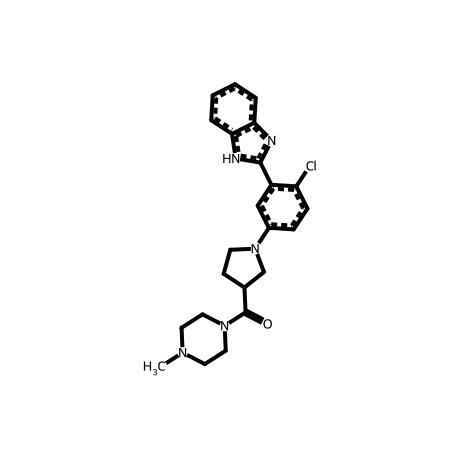 CN1CCN(C(=O)C2CCN(c3ccc(Cl)c(-c4nc5ccccc5[nH]4)c3)C2)CC1